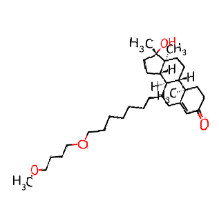 COCCCCOCCCCCCC[C@@H]1CC2=CC(=O)CC[C@]2(C)[C@H]2CC[C@@]3(C)[C@@H](CC[C@]3(C)O)[C@H]12